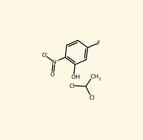 CC(Cl)Cl.O=[N+]([O-])c1ccc(F)cc1O